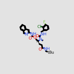 [CH2]C(C)(C)CNC(=O)CC[C@@H](COC(=O)Nc1cc2ccccc2cn1)N(C)C(=O)NCc1cccc(F)c1Cl